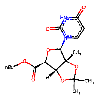 CCCCOC(=O)[C@H]1O[C@@H](n2ccc(=O)[nH]c2=O)[C@]2(C)OC(C)(C)O[C@H]12